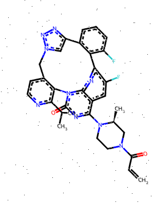 C=CC(=O)N1CCN(c2nc(=O)n3c4nc(c(F)cc24)-c2c(F)cccc2-c2cn(nn2)Cc2ccnc(C(C)C)c2-3)[C@@H](C)C1